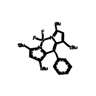 CC(C)(C)C1=CC(C(C)(C)C)=[N+]2C1=C(c1ccccc1)c1c(C(C)(C)C)cc(C(C)(C)C)n1S2(F)F